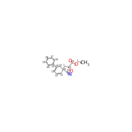 CCOC(=O)C(=O)CC1(C#N)C=CC=C(c2ccccc2)C1